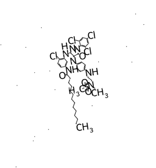 CCCCCCCCCCCCCC(=O)Nc1ccc(Cl)c(NC2=NN(c3c(Cl)cc(Cl)cc3Cl)C(=O)C2=Nc2ccc(NCCN(CC)S(C)(=O)=O)cc2)c1